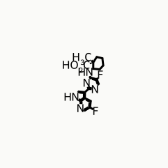 C[C@]1(C(=O)O)CCCC[C@@H]1Nc1nc(-c2c[nH]c3ncc(F)cc23)ncc1F